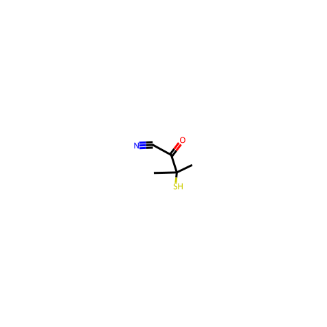 CC(C)(S)C(=O)C#N